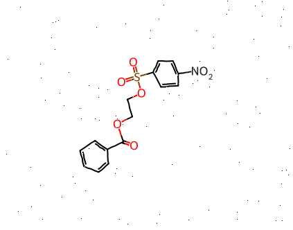 O=C(OCCOS(=O)(=O)c1ccc([N+](=O)[O-])cc1)c1ccccc1